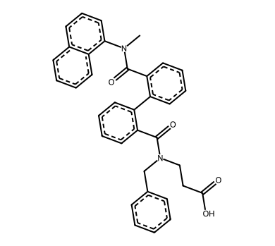 CN(C(=O)c1ccccc1-c1ccccc1C(=O)N(CCC(=O)O)Cc1ccccc1)c1cccc2ccccc12